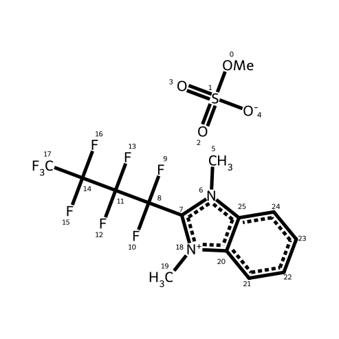 COS(=O)(=O)[O-].Cn1c(C(F)(F)C(F)(F)C(F)(F)C(F)(F)F)[n+](C)c2ccccc21